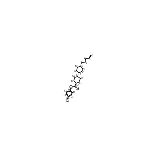 C=CCCC[C@H]1CC[C@H](C2CCC(C(=O)Oc3ccc(Cl)cc3)CC2)CC1